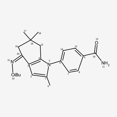 Cc1cc2c(n1-c1ccc(C(N)=O)cc1)CC(C)(C)C/C2=N/OCC(C)C